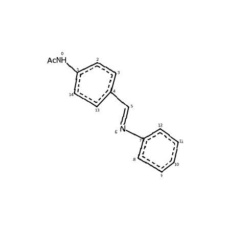 CC(=O)Nc1ccc(C=Nc2ccccc2)cc1